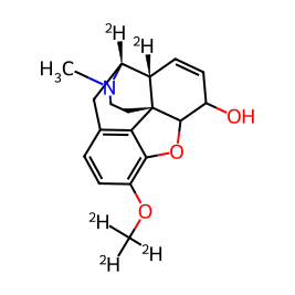 [2H]C([2H])([2H])Oc1ccc2c3c1OC1C(O)C=C[C@]4([2H])[C@@]31CCN(C)[C@]4([2H])C2